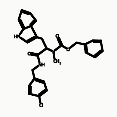 CN(C(=O)OCc1ccccc1)C(Cc1c[nH]c2ccccc12)C(=O)NCc1ccc(Cl)cc1